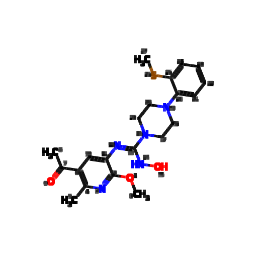 COc1nc(C)c(C(C)=O)cc1N=C(NO)N1CCN(c2ccccc2SC)CC1